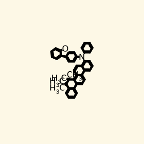 CC1(C)c2ccccc2-c2ccc3c(ccc4c(N(c5ccccc5)c5ccc6c(c5)oc5ccccc56)cccc43)c2C1(C)C